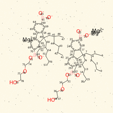 CCCCC(CC)CC1(CC(CC)CCCC)c2cc(B([O-])[O-])ccc2-c2ccc(B([O-])OCCOCCO)cc21.CCCCC(CC)CC1(CC(CC)CCCC)c2cc(B([O-])[O-])ccc2-c2ccc(B([O-])OCCOCCO)cc21.[Mg+2].[Mg+2].[Mg+2]